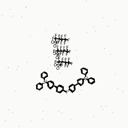 O=S(=O)([O-])C(F)(F)C(F)(F)C(F)(F)C(F)(F)F.O=S(=O)([O-])C(F)(F)C(F)(F)C(F)(F)C(F)(F)F.O=S(=O)([O-])C(F)(F)C(F)(F)C(F)(F)C(F)(F)F.c1ccc([S+](c2ccccc2)c2ccc(-c3ccc([I+]c4ccc(-c5ccc([S+](c6ccccc6)c6ccccc6)cc5)cc4)cc3)cc2)cc1